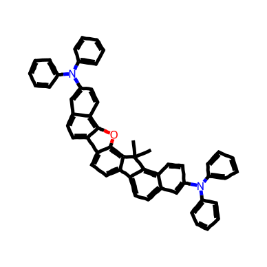 CC1(C)c2c(ccc3cc(N(c4ccccc4)c4ccccc4)ccc23)-c2ccc3c(oc4c5ccc(N(c6ccccc6)c6ccccc6)cc5ccc34)c21